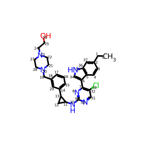 CCc1ccc2c(-c3nc(NC4CC4c4cccc(CN5CCN(CCO)CC5)c4)ncc3Cl)c[nH]c2c1